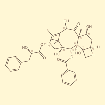 CC1=C2[C@@H](O)C(=O)[C@@]3(C)[C@H]([C@H](OC(=O)c4ccccc4)[C@](O)(C[C@@H]1OC(=O)[C@H](O)Cc1ccccc1)C2(C)C)[C@]1(O)CO[C@@H]1C[C@@H]3O